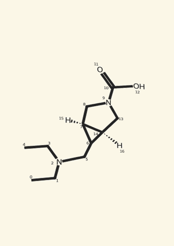 CCN(CC)CC1[C@H]2CN(C(=O)O)C[C@@H]12